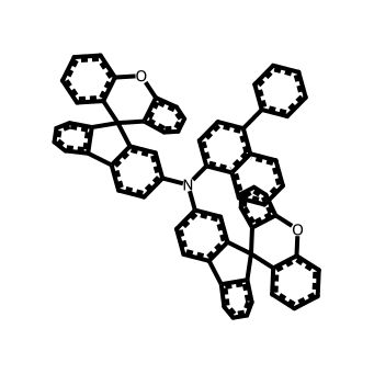 c1ccc(-c2ccc(N(c3ccc4c(c3)C3(c5ccccc5Oc5ccccc53)c3ccccc3-4)c3ccc4c(c3)C3(c5ccccc5Oc5ccccc53)c3ccccc3-4)c3ccccc23)cc1